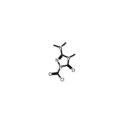 CN(C)c1nn(C(=O)Cl)c(=O)n1C